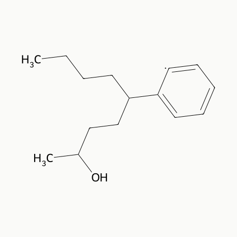 CCCCC(CCC(C)O)c1[c]cccc1